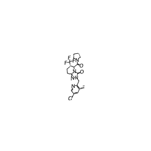 O=C(C1C(C(F)(F)F)CCc2nn(Cc3ncc(Cl)cc3F)c(=O)n21)N1CCCC1